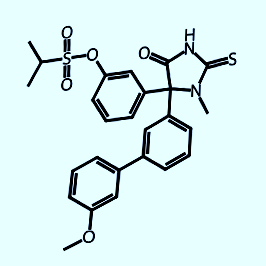 COc1cccc(-c2cccc(C3(c4cccc(OS(=O)(=O)C(C)C)c4)C(=O)NC(=S)N3C)c2)c1